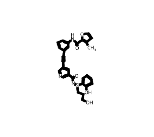 Cc1ccoc1C(=O)Nc1cccc(C#Cc2cncc(C(=O)N=S(CCCO)c3ccccc3O)c2)c1